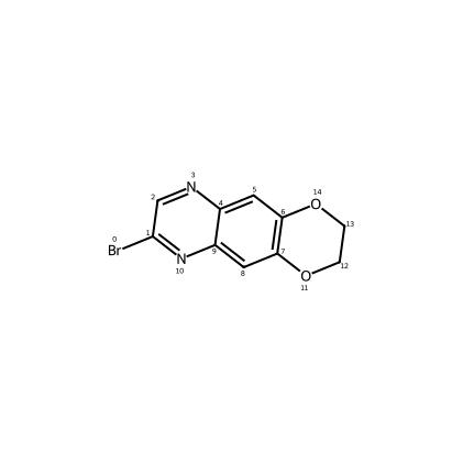 Brc1cnc2cc3c(cc2n1)OCCO3